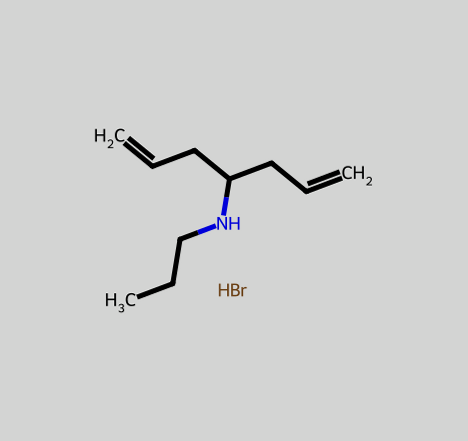 Br.C=CCC(CC=C)NCCC